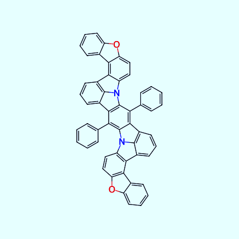 c1ccc(-c2c3c4cccc5c6c7c(ccc6n(c3c(-c3ccccc3)c3c6cccc8c9c%10c(ccc9n(c23)c68)oc2ccccc2%10)c45)oc2ccccc27)cc1